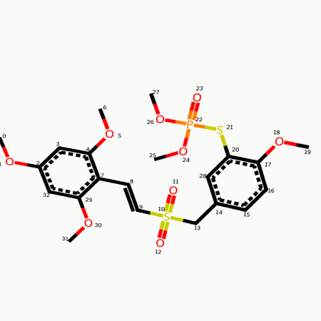 COc1cc(OC)c(/C=C/S(=O)(=O)Cc2ccc(OC)c(SP(=O)(OC)OC)c2)c(OC)c1